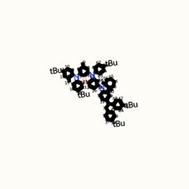 Cc1cc2c3c(c1)N(c1ccc(C(C)(C)C)cc1C)c1ccc(C(C)(C)C)cc1B3c1ccc(N3c4ccc(C(Cc5ccc(C(C)(C)C)cc5)c5ccc(C(C)(C)C)cc5)cc4C4(C)CCCCC34C)cc1N2c1ccc(C(C)(C)C)cc1